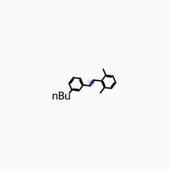 CCCCc1cccc(/C=C/c2c(C)cccc2C)c1